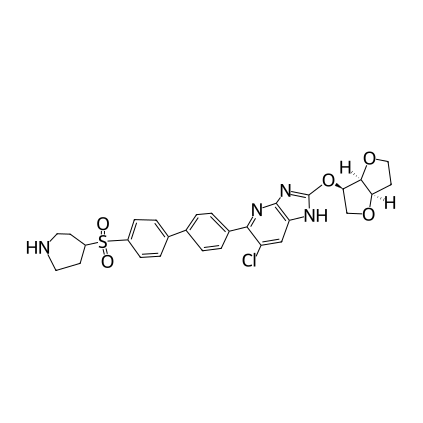 O=S(=O)(c1ccc(-c2ccc(-c3nc4nc(O[C@@H]5CO[C@@H]6CCO[C@@H]65)[nH]c4cc3Cl)cc2)cc1)C1CCNCC1